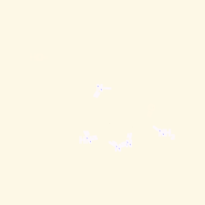 NC(=O)c1nnc2[nH]cc3c2c1-c1ccccc1N=C3CCCCO